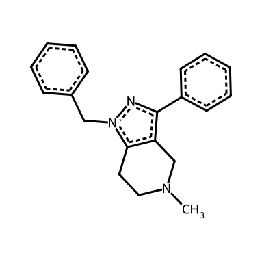 CN1CCc2c(c(-c3ccccc3)nn2Cc2ccccc2)C1